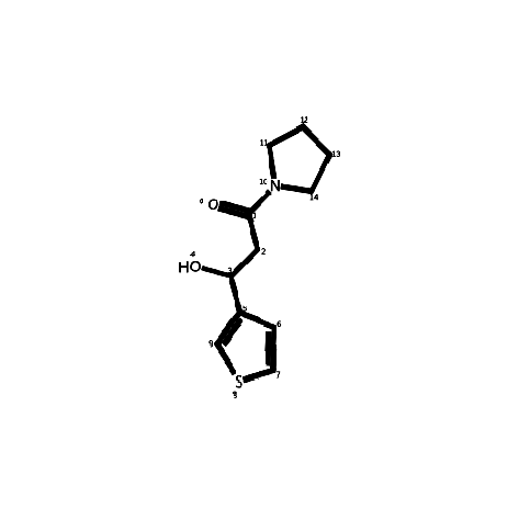 O=C(CC(O)c1ccsc1)N1CCCC1